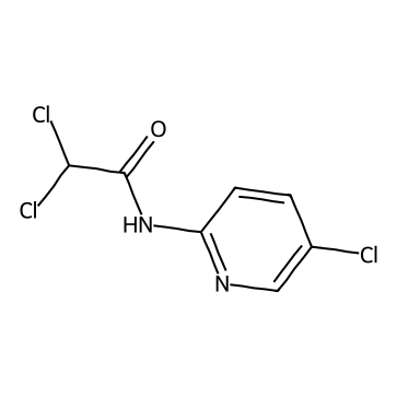 O=C(Nc1ccc(Cl)cn1)C(Cl)Cl